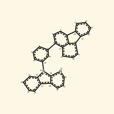 c1cc(-c2ccc3c4c(cccc24)-c2ccccc2-3)cc(-n2c3ccccc3c3cccnc32)c1